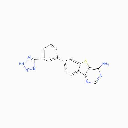 Nc1ncnc2c1sc1cc(-c3cccc(-c4nn[nH]n4)c3)ccc12